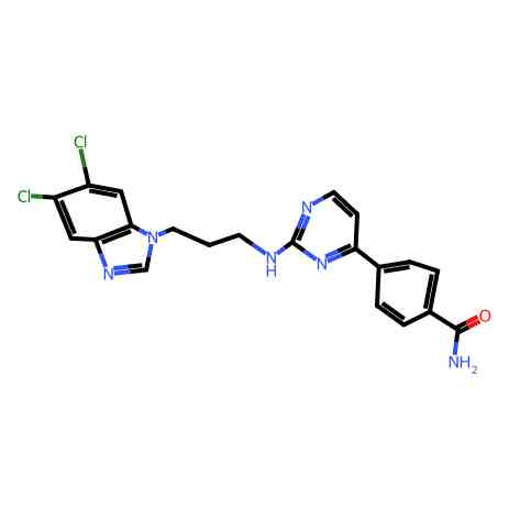 NC(=O)c1ccc(-c2ccnc(NCCCn3cnc4cc(Cl)c(Cl)cc43)n2)cc1